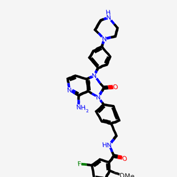 COc1ccc(F)cc1C(=O)NCc1ccc(-n2c(=O)n(-c3ccc(N4CCNCC4)cc3)c3ccnc(N)c32)cc1